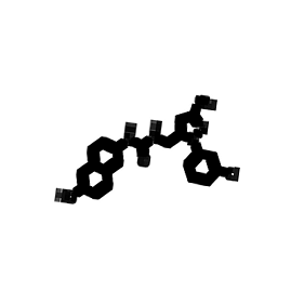 CC(C)(C)c1cc(CNC(=O)Nc2ccc3cc(O)ccc3c2)n(-c2cccc(Cl)c2)n1